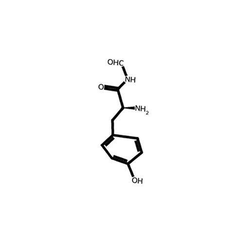 N[C@@H](Cc1ccc(O)cc1)C(=O)NC=O